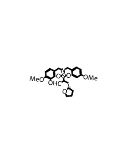 COc1ccc(CN(Cc2ccc(OC)cc2)S(=O)(=O)C(C=O)C[C@@H]2CCCO2)cc1